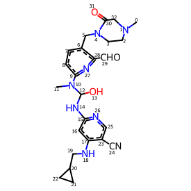 CN1CCN(Cc2ccc(N(C)C(O)Nc3cc(NCC4CC4)c(C#N)cn3)nc2C=O)C(=O)C1